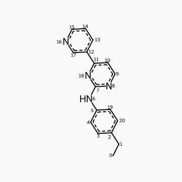 CCc1ccc(Nc2nccc(-c3cccnc3)n2)cc1